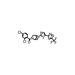 O=C(c1ccc(Cl)cc1Cl)N1CC2CC1CN2c1ncc(-c2noc(C(F)(F)F)n2)s1